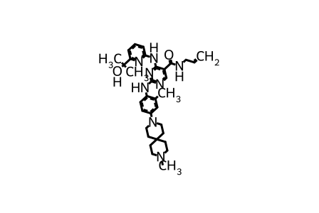 C=CCNC(=O)c1cnc(Nc2ccc(N3CCC4(CCN(C)CC4)CC3)cc2C)nc1Nc1cccc(C(C)(C)O)n1